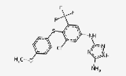 COc1ccc(Sc2c(Cl)cc(Nc3n[nH]c(N)n3)cc2C(F)(F)F)cc1